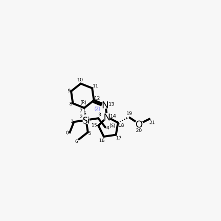 CC[Si](CC)(CC)[C@@H]1CCCC/C1=N/N1CCC[C@H]1COC